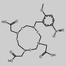 COc1ccc([N+](=O)[O-])cc1CN1CCN(CC(=O)O)CCN(CC(=O)O)CCN(CC(=O)O)CC1